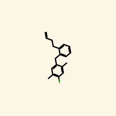 C=CCCc1ccccc1Cc1cc(C)c(F)cc1C